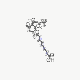 CO[C@@H]1C(OC(=O)/C=C/C=C/C=C/C=C/C(=O)O)CC[C@]2(CO2)C1[C@@]1(C)O[C@@H]1CC=C(C)C